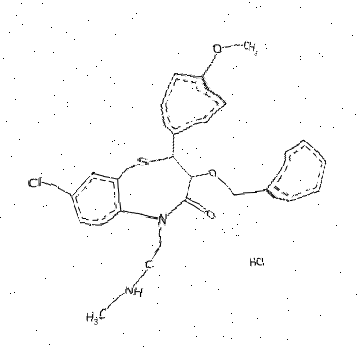 CNCCN1C(=O)C(OCc2ccccc2)C(c2ccc(OC)cc2)Sc2cc(Cl)ccc21.Cl